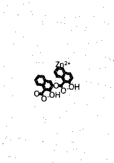 O=C([O-])c1c(O)ccc2ccccc12.O=C([O-])c1c(O)ccc2ccccc12.[Zn+2]